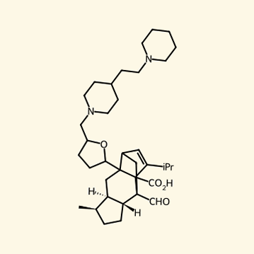 CC(C)C1=CC2CC3(C=O)[C@@H]4CC[C@@H](C)[C@H]4CC2(C2CCC(CN4CCC(CCN5CCCCC5)CC4)O2)C13C(=O)O